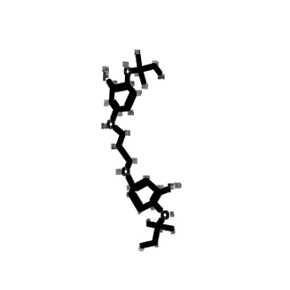 CCC(C)(C)Oc1ccc(OCCCOc2ccc(OC(C)(C)CC)c(F)c2)cc1F